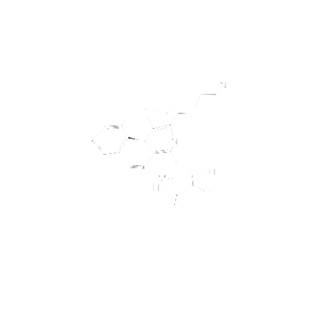 CCOC(=O)C1=C(COCCN)NC(C)=C(C(=O)OC)[C@H]1c1ccccc1Cl.O=C(O)C(O)C(O)C(=O)O